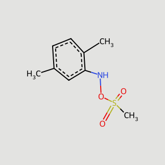 Cc1ccc(C)c(NOS(C)(=O)=O)c1